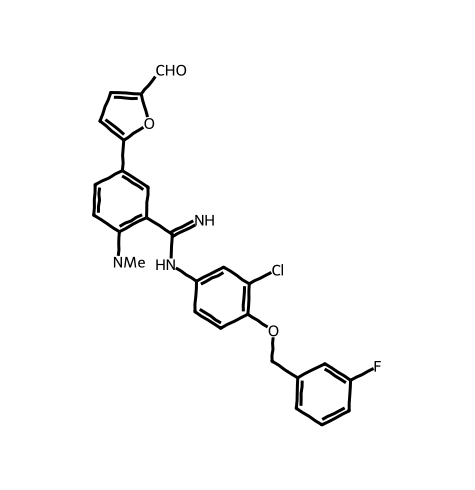 CNc1ccc(-c2ccc(C=O)o2)cc1C(=N)Nc1ccc(OCc2cccc(F)c2)c(Cl)c1